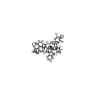 COc1ccnc(Cn2c(C(=O)O)c(N3C[C@@H](C)n4c(c(CCCOc5cc(C)c(Cl)c(C)c5)c5ccc(Cl)c(-c6c(C)nn(C)c6C)c54)C3=O)c3ccccc32)c1